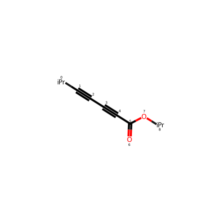 CC(C)C#CC#CC(=O)OC(C)C